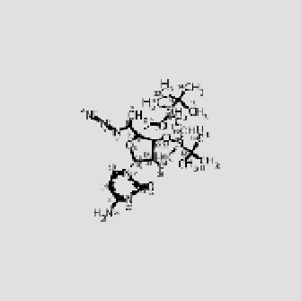 C=C(N=[N+]=[N-])[C@]1(CO[Si](C)(C)C(C)(C)C)O[C@@H](n2ccc(N)nc2=O)[C@H](F)C1O[Si](C)(C)C(C)(C)C